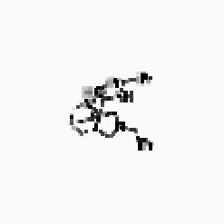 CC(C)CNC(=O)C12NCC3CC1CN(CC(C)C)C2C3CC(C)C